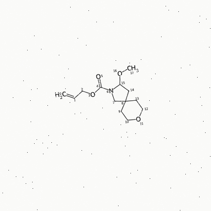 C=CCOC(=O)N1CC2(CCOCC2)CC1OC